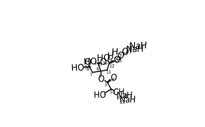 CC(O)C(=O)OC(CC(=O)O)(CC(=O)O)C(=O)O.O.O.[NaH].[NaH].[NaH].[NaH]